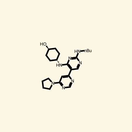 CCCCNc1ncc(-c2cc(N3CCCC3)ncn2)c(N[C@H]2CC[C@H](O)CC2)n1